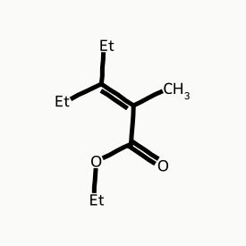 CCOC(=O)C(C)=C(CC)CC